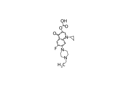 CCN1CCN(c2cc3c(cc2F)c(=O)c(OC(=O)O)cn3C2CC2)CC1